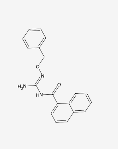 NC(=NOCc1ccccc1)NC(=O)c1cccc2ccccc12